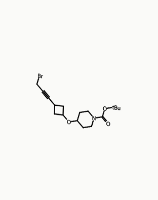 CC(C)(C)OC(=O)N1CCC(OC2CC(C#CCBr)C2)CC1